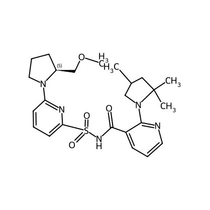 COC[C@@H]1CCCN1c1cccc(S(=O)(=O)NC(=O)c2cccnc2N2CC(C)CC2(C)C)n1